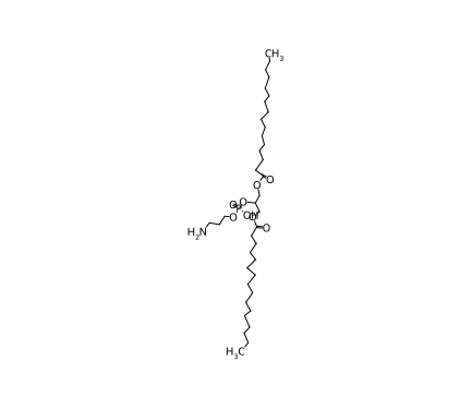 CCCCCCCCCCCCCCCC(=O)OCC(COC(=O)CCCCCCCCCCCCCCC)OP(=O)(O)OCCCN